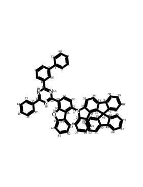 c1ccc(-c2cccc(-c3nc(-c4ccccc4)nc(-c4ccc(-n5c6ccccc6c6c7c(ccc65)-c5ccccc5C75c6ccccc6-c6ccccc65)c5c4oc4ccccc45)n3)c2)cc1